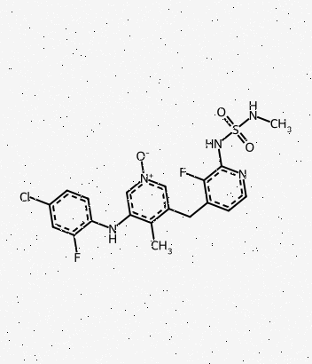 CNS(=O)(=O)Nc1nccc(Cc2c[n+]([O-])cc(Nc3ccc(Cl)cc3F)c2C)c1F